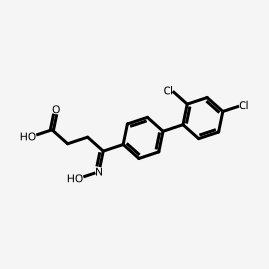 O=C(O)CCC(=NO)c1ccc(-c2ccc(Cl)cc2Cl)cc1